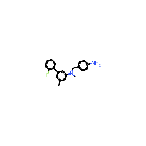 Cc1cc(-c2ccccc2F)cc(N(C)Cc2ccc(N)cc2)c1